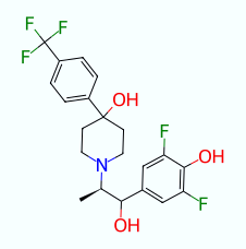 C[C@H](C(O)c1cc(F)c(O)c(F)c1)N1CCC(O)(c2ccc(C(F)(F)F)cc2)CC1